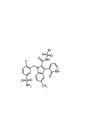 Cc1ccc2c(c1)c(-c1ccc[nH]c1=O)c(C(=O)NS(=O)(=O)C(C)C)n2Cc1cc(S(N)(=O)=O)ccc1F